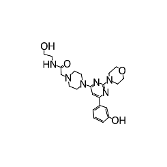 O=C(CN1CCN(c2cc(-c3cccc(O)c3)nc(N3CCOCC3)n2)CC1)NCCO